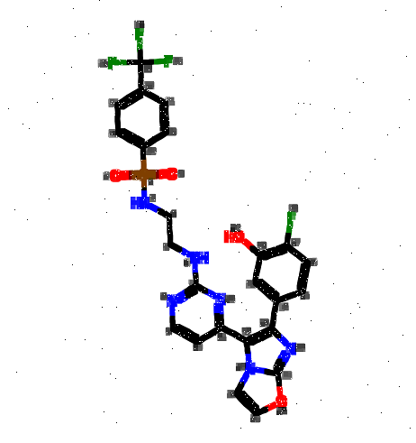 O=S(=O)(NCCNc1nccc(-c2c(-c3ccc(F)c(O)c3)nc3occn23)n1)c1ccc(C(F)(F)F)cc1